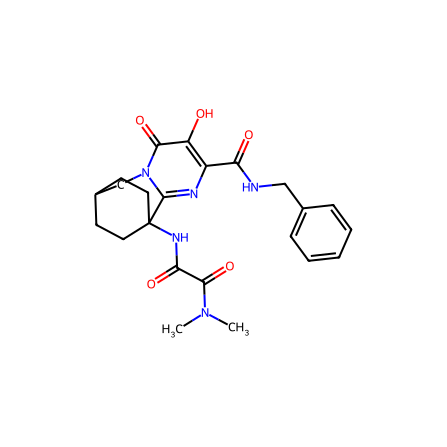 CN(C)C(=O)C(=O)NC12CCC(CC1)Cn1c2nc(C(=O)NCc2ccccc2)c(O)c1=O